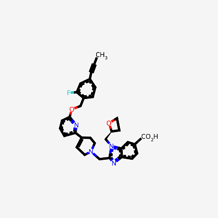 CC#Cc1ccc(COc2cccc(C3=CCN(Cc4nc5ccc(C(=O)O)cc5n4C[C@@H]4CCO4)CC3)n2)c(F)c1